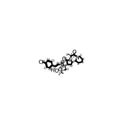 C[C@@H](C(=O)N1CCCCC1)N1CC[C@H](N(CC(=O)O)S(=O)(=O)/C=C/c2ccc(Cl)cc2)C1=O